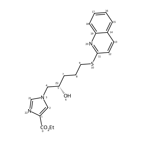 CCOC(=O)c1cn(C[C@@H](O)CCCSc2ccc3ccccc3n2)cn1